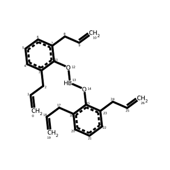 C=CCc1cccc(CC=C)c1OBOc1c(CC=C)cccc1CC=C